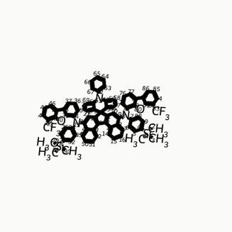 C[Si](C)(C)c1ccc(N(c2cc3c(c4ccccc24)-c2c(cc(N(c4ccc([Si](C)(C)C)cc4)c4cccc5c4oc4c(C(F)(F)F)cccc45)c4ccccc24)C32c3ccccc3N(c3ccccc3)c3ccccc32)c2cccc3c2oc2c(C(F)(F)F)cccc23)cc1